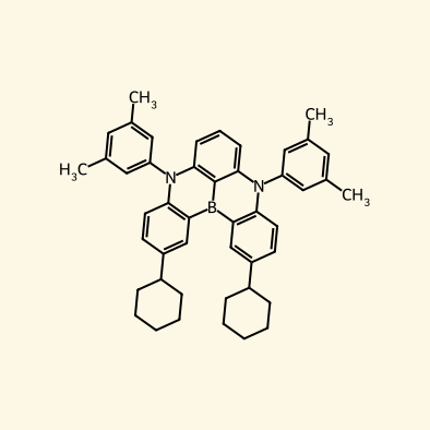 Cc1cc(C)cc(N2c3ccc(C4CCCCC4)cc3B3c4cc(C5CCCCC5)ccc4N(c4cc(C)cc(C)c4)c4cccc2c43)c1